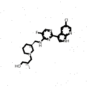 C[C@H](CO)CN1CCC[C@@H](CNc2nc(-c3c[nH]c4ncc(Cl)cc34)ncc2F)C1